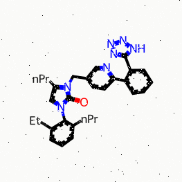 CCCc1cccc(CC)c1-n1cc(CCC)n(Cc2ccc(-c3ccccc3-c3nnn[nH]3)nc2)c1=O